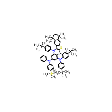 CC(C)(C)c1ccc(N2c3ccc(C(C)(C)C)cc3B3c4sc5cc6c(cc5c4N(c4ccc(C(C)(C)C)cc4)c4cc(N(c5ccccc5)c5ccc(S(C)(C)C)cc5)cc2c43)C(C)(C)CCC6(C)C)cc1